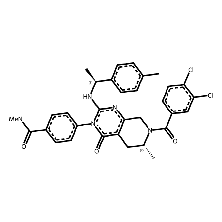 CNC(=O)c1ccc(-n2c(N[C@@H](C)c3ccc(C)cc3)nc3c(c2=O)C[C@@H](C)N(C(=O)c2ccc(Cl)c(Cl)c2)C3)cc1